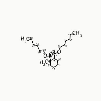 CCCCCCOC(=O)C1CCCCC1(C)C(=O)OCCCCCC